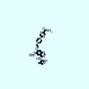 Cc1cn[nH]c1Nc1ncnc2cc(OCCN3CCN(C4=NCC(C(N)=O)N=C4)CC3)c(SC(C)(C)C)cc12